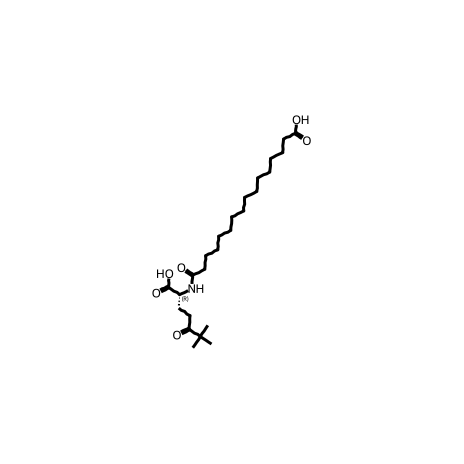 CC(C)(C)C(=O)CC[C@@H](NC(=O)CCCCCCCCCCCCCCC(=O)O)C(=O)O